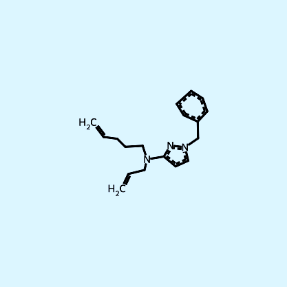 C=CCCCN(CC=C)c1ccn(Cc2ccccc2)n1